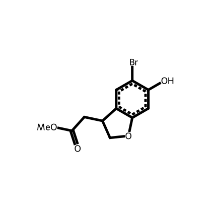 COC(=O)CC1COc2cc(O)c(Br)cc21